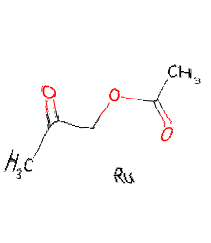 CC(=O)COC(C)=O.[Ru]